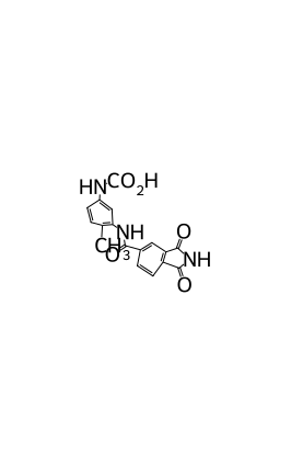 Cc1ccc(NC(=O)O)cc1NC(=O)c1ccc2c(c1)C(=O)NC2=O